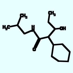 CCC(O)C(C(=O)NCC(C)C)C1CCCCC1